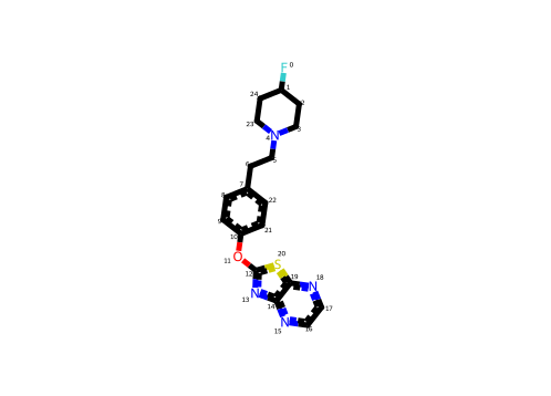 FC1CCN(CCc2ccc(Oc3nc4nccnc4s3)cc2)CC1